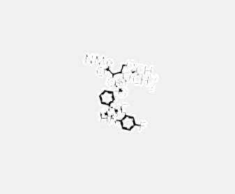 CNC(=O)C(OS(=O)(=O)c1cccc(S(=O)(=O)Nc2ccc(F)cc2C(F)(F)F)c1)C1COC(C)(C)O1